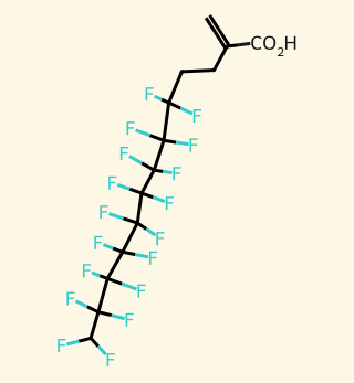 C=C(CCC(F)(F)C(F)(F)C(F)(F)C(F)(F)C(F)(F)C(F)(F)C(F)(F)C(F)(F)C(F)F)C(=O)O